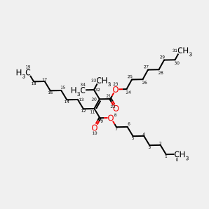 CCCCCCCCOC(=O)C(CCCCCCCC)=C(C(=O)OCCCCCCCC)C(C)C